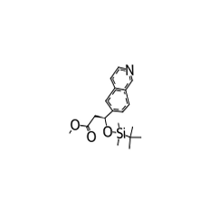 COC(=O)C[C@H](O[Si](C)(C)C(C)(C)C)c1ccc2cnccc2c1